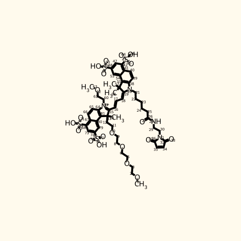 COCCOCCOCCOCCC1(C)C(/C=C/C=C2/N(CCCCCC(=O)NCCN3C(=O)C=CC3=O)c3ccc4c(S(=O)(=O)O)cc(S(=O)(=O)O)cc4c3C2(C)C)=[N+](CCOC)c2ccc3c(S(=O)(=O)O)cc(S(=O)(=O)O)cc3c21